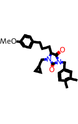 COc1ccc(CCCC2C(=O)N(Cc3ccc(C)c(C)c3)C(=O)N2CC2CC2)cc1